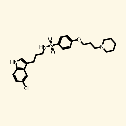 O=S(=O)(NCCCc1c[nH]c2ccc(Cl)cc12)c1ccc(OCCCN2CCCCC2)cc1